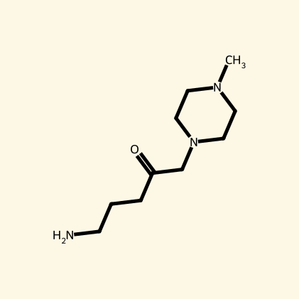 CN1CCN(CC(=O)CCCN)CC1